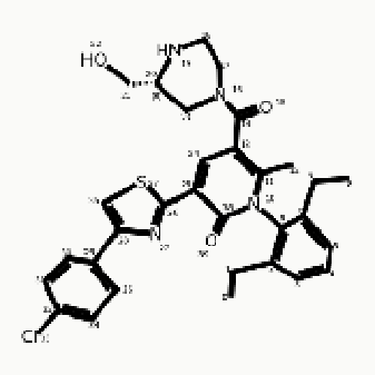 CCc1cccc(CC)c1-n1c(C)c(C(=O)N2CCN[C@@H](CO)C2)cc(-c2nc(-c3ccc(Cl)cc3)cs2)c1=O